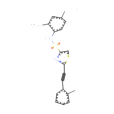 COc1cc(C(=O)O)ccc1NS(=O)(=O)c1csc(C#Cc2ccccc2C(F)(F)F)n1